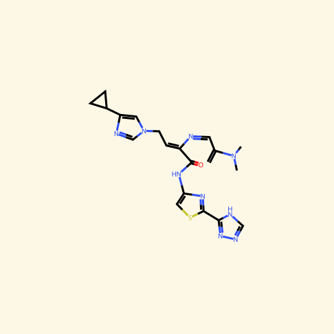 C=C(/C=N\C(=C/Cn1cnc(C2CC2)c1)C(=O)Nc1csc(-c2nnc[nH]2)n1)N(C)C